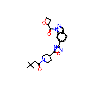 CC(C)(C)CC(=O)N1CCC(c2nc(-c3ccc4cnn(C(=O)C5CCO5)c4c3)no2)CC1